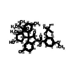 COc1ccc(S(=O)(=O)N2C(=O)C(c3cc(C)ccc3OC)(N3C[C@H](O)C[C@H]3C(=O)N(C)C)c3cc(Cl)ccc32)c(OC(F)(F)F)c1